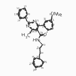 COc1cccc(-c2nc(-c3ccccc3)nc(C)c2C(=O)NCCCc2ccccc2)c1